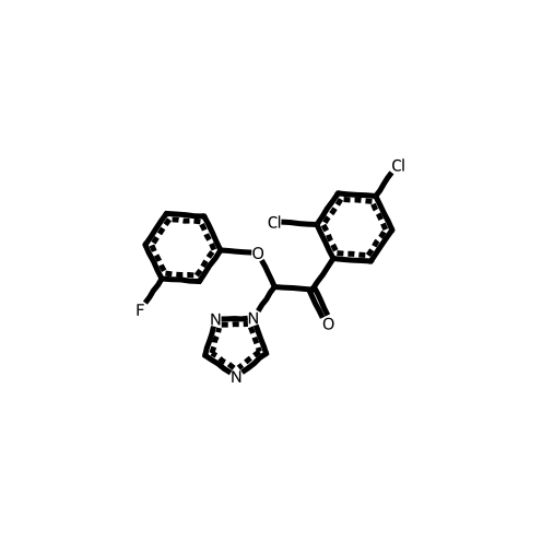 O=C(c1ccc(Cl)cc1Cl)C(Oc1cccc(F)c1)n1cncn1